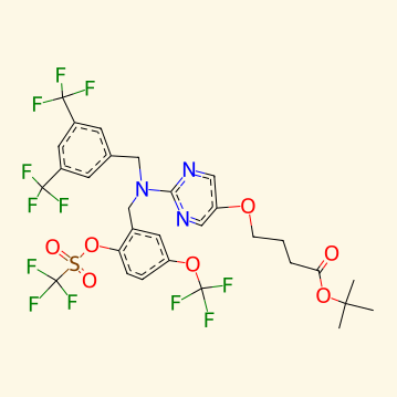 CC(C)(C)OC(=O)CCCOc1cnc(N(Cc2cc(C(F)(F)F)cc(C(F)(F)F)c2)Cc2cc(OC(F)(F)F)ccc2OS(=O)(=O)C(F)(F)F)nc1